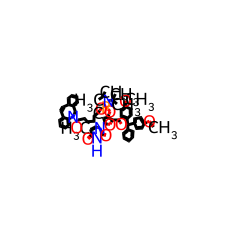 COc1ccc(C(OCC2OC(n3cc(C)c(=O)[nH]c3=O)CC2OP(OCCCCCC(=O)N2Cc3ccccc3C#Cc3ccccc32)N(C(C)C)C(C)C)(c2ccccc2)c2ccc(OC)cc2)cc1